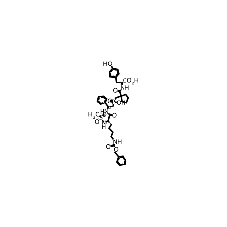 CS(=O)(=O)N[C@@H](CCCCNC(=O)OCc1ccccc1)C(=O)N[C@H](CP(=O)(O)CC1(C(=O)N[C@@H](Cc2ccc(O)cc2)C(=O)O)CCCC1)c1ccccc1